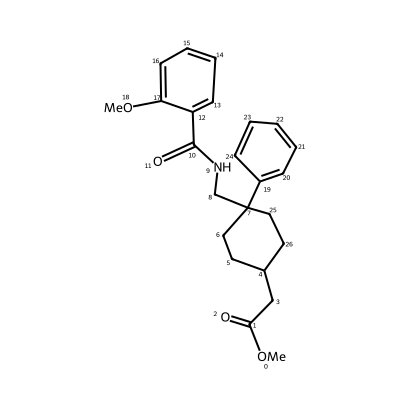 COC(=O)CC1CCC(CNC(=O)c2ccccc2OC)(c2ccccc2)CC1